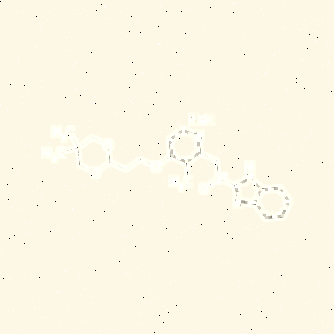 Cc1c(OCCC2OCC(C)(C)CO2)ccnc1C[S+]([O-])c1nc2ccccc2[nH]1.[NaH]